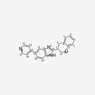 c1ccc2c(c1)CC(c1nc3cc(-c4ccncc4)ccc3[nH]1)CO2